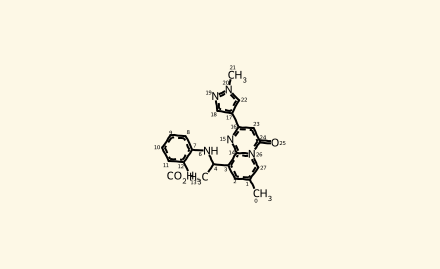 Cc1cc(C(C)Nc2ccccc2C(=O)O)c2nc(-c3cnn(C)c3)cc(=O)n2c1